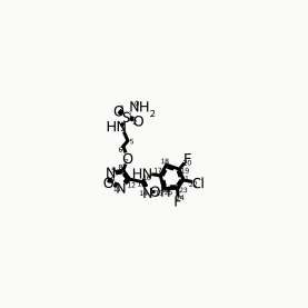 NS(=O)(=O)NCCOc1nonc1/C(=N/O)Nc1cc(F)c(Cl)c(F)c1